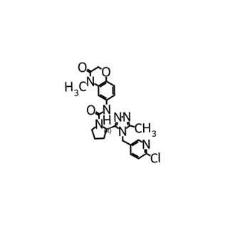 Cc1nnc([C@H]2CCCN2C(=O)Nc2ccc3c(c2)N(C)C(=O)CO3)n1Cc1ccc(Cl)nc1